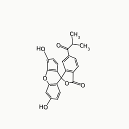 CC(C)C(=O)c1ccc2c(c1)C1(OC2=O)c2ccc(O)cc2Oc2cc(O)ccc21